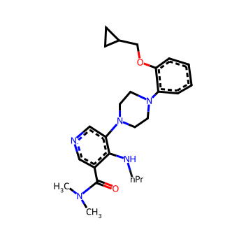 CCCNc1c(C(=O)N(C)C)cncc1N1CCN(c2ccccc2OCC2CC2)CC1